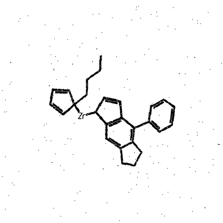 CCCC[C]1([Zr][CH]2C=Cc3c2cc2c(c3-c3ccccc3)CCC2)C=CC=C1